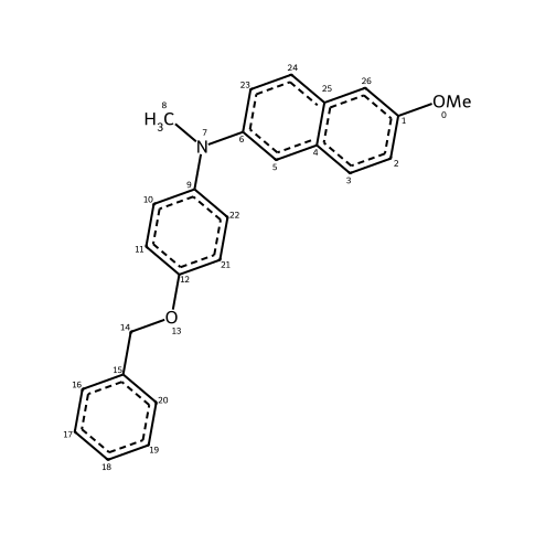 COc1ccc2cc(N(C)c3ccc(OCc4ccccc4)cc3)ccc2c1